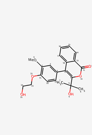 COc1cc(-c2c(C(C)(C)O)oc(=O)c3ccccc23)ccc1OCCO